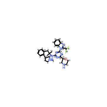 CN1CCC(c2ccccc2CC(C)(C)Nc2nc(C3CNCCO3)nc(-n3c(C(F)F)nc4ccccc43)n2)C1